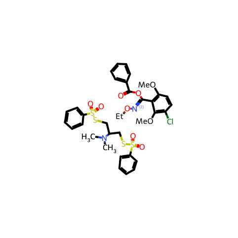 CCO/N=C(\OC(=O)c1ccccc1)c1c(OC)ccc(Cl)c1OC.CN(C)C(CSS(=O)(=O)c1ccccc1)CSS(=O)(=O)c1ccccc1